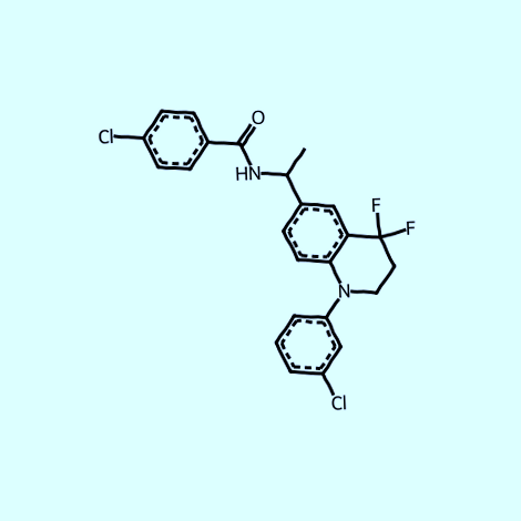 CC(NC(=O)c1ccc(Cl)cc1)c1ccc2c(c1)C(F)(F)CCN2c1cccc(Cl)c1